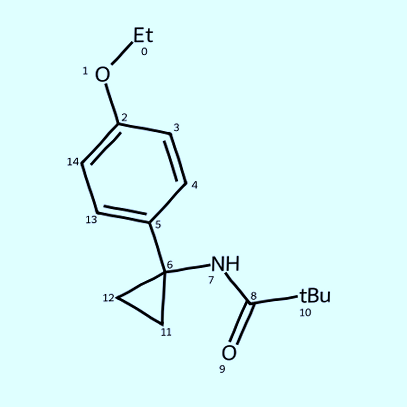 CCOc1ccc(C2(NC(=O)C(C)(C)C)CC2)cc1